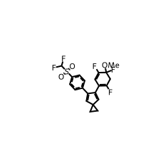 COC1(F)CC(F)=C(C2=CC3(C=C2c2ccc(S(=O)(=O)C(F)F)cc2)CC3)C=C1F